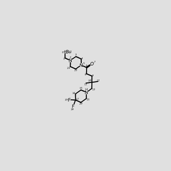 CC(C)(C)CN1CCN(C(=O)CCC(C)(C)CN2CCC(F)(F)CC2)CC1